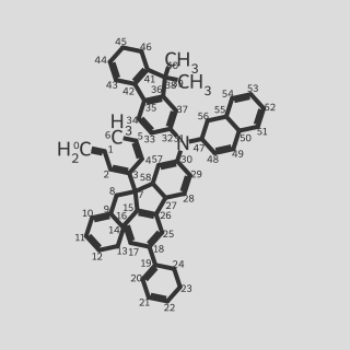 C=C/C=C(\C=C/C)C1(CC2=CC=CCC2)c2ccc(C3=CC=CCC3)cc2C2C=CC(N(c3ccc4c(c3)C(C)(C)C3=C4C=CCC3)C3C=CC4C=CC=CC4C3)=CC21